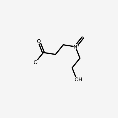 C=[N+](CCO)CCC(=O)[O-]